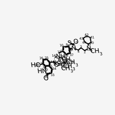 CN(CCCn1c(=O)sc2cc(CNC[C@H](O[Si](C)(C)C(C)(C)C)c3ccc(O)c4[nH]c(=O)ccc34)ccc21)C1CC[CH]CC1